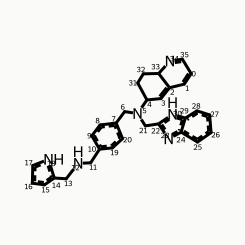 C1=CC2=CC(N(Cc3ccc(CNCc4ccc[nH]4)cc3)Cc3nc4ccccc4[nH]3)CCC2N=C1